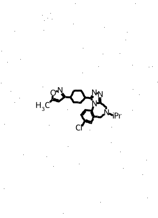 Cc1cc(C2CCC(c3nnc4n3-c3ccc(Cl)cc3CN(C(C)C)C4)CC2)no1